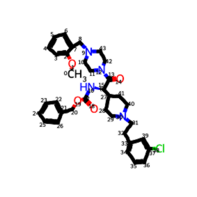 COc1ccccc1CN1CCN(C(=O)[C@H](NC(=O)OCc2ccccc2)C2CCN(CCc3cccc(Cl)c3)CC2)CC1